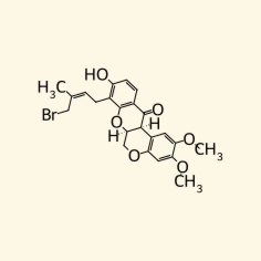 COc1cc2c(cc1OC)[C@@H]1C(=O)c3ccc(O)c(C/C=C(/C)CBr)c3O[C@@H]1CO2